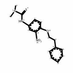 CN(C)C(=S)Nc1ccc(OCCc2ccccc2)c([N+](=O)[O-])c1